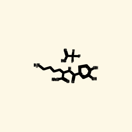 COC(=O)C(CCCCN)NC(=O)c1ccc(O)c(O)c1.O=C(O)C(F)(F)F